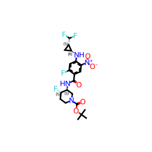 CC(C)(C)OC(=O)N1CC[C@H](F)[C@@H](NC(=O)c2cc([N+](=O)[O-])c(N[C@@H]3C[C@@H]3C(F)F)cc2F)C1